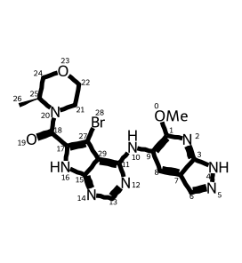 COc1nc2[nH]ncc2cc1Nc1ncnc2[nH]c(C(=O)N3CCOC[C@@H]3C)c(Br)c12